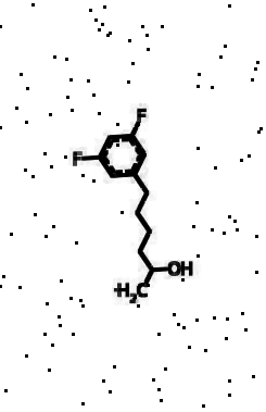 [CH2]C(O)CCCCc1cc(F)cc(F)c1